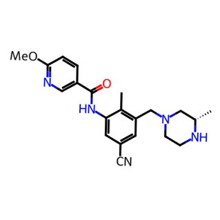 COc1ccc(C(=O)Nc2cc(C#N)cc(CN3CCN[C@@H](C)C3)c2C)cn1